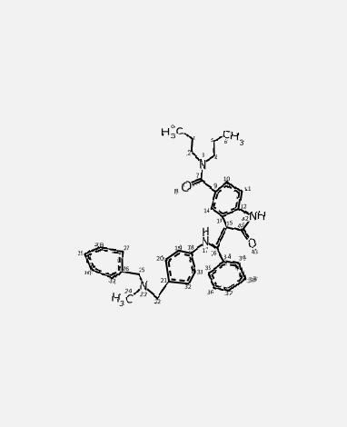 CCCN(CCC)C(=O)c1ccc2c(c1)C(=C(Nc1ccc(CN(C)Cc3ccccc3)cc1)c1ccccc1)C(=O)N2